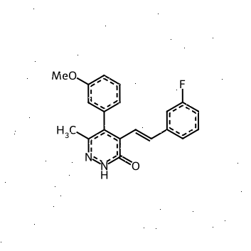 COc1cccc(-c2c(C)n[nH]c(=O)c2C=Cc2cccc(F)c2)c1